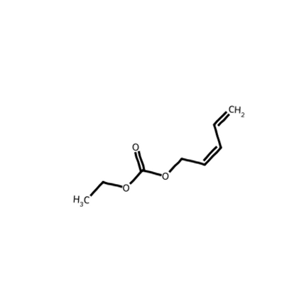 C=C/C=C\COC(=O)OCC